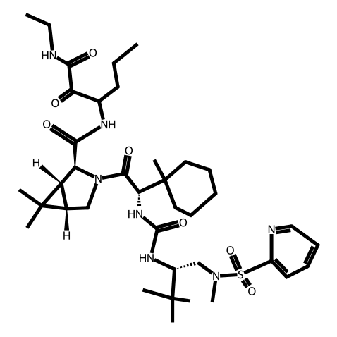 CCCC(NC(=O)[C@@H]1[C@@H]2[C@H](CN1C(=O)[C@@H](NC(=O)N[C@H](CN(C)S(=O)(=O)c1ccccn1)C(C)(C)C)C1(C)CCCCC1)C2(C)C)C(=O)C(=O)NCC